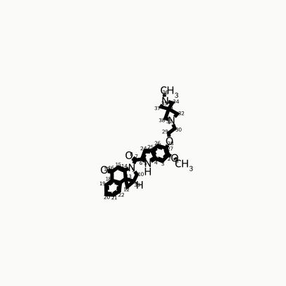 COc1cc2[nH]c(C(=O)N3C[C@H]4CC45C3=CC(=O)c3ccccc35)cc2cc1OCCN1CC2(CN(C)C2)C1